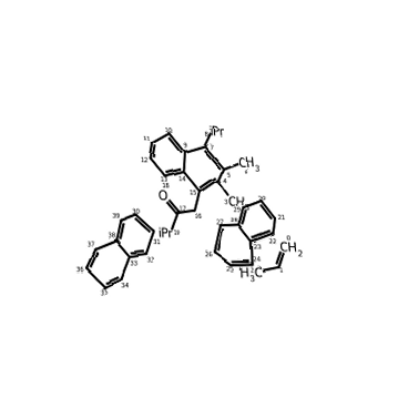 C=CC.Cc1c(C)c(C(C)C)c2ccccc2c1CC(=O)C(C)C.c1ccc2ccccc2c1.c1ccc2ccccc2c1